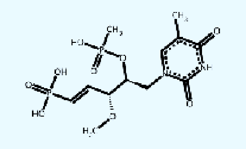 CO[C@H](/C=C/P(=O)(O)O)[C@H](Cn1cc(C)c(=O)[nH]c1=O)OP(C)(=O)O